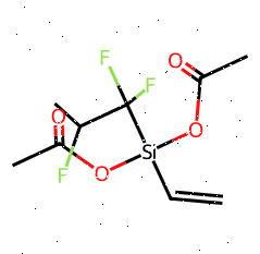 C=C[Si](OC(C)=O)(OC(C)=O)C(F)(F)C(C)F